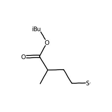 CCC(C)OC(=O)C(C)CC[S]